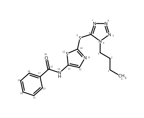 CCCCn1nnnc1Sc1ncc(NC(=O)c2ccccc2)s1